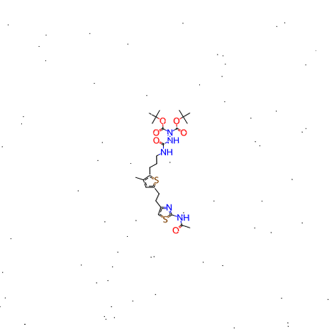 CC(=O)Nc1nc(CCc2cc(C)c(CCCNC(=O)NN(C(=O)OC(C)(C)C)C(=O)OC(C)(C)C)s2)cs1